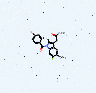 CNC(=O)Cc1c(C)n(C(=O)c2ccc(Br)cc2)c2cc(F)c(OC)cc12